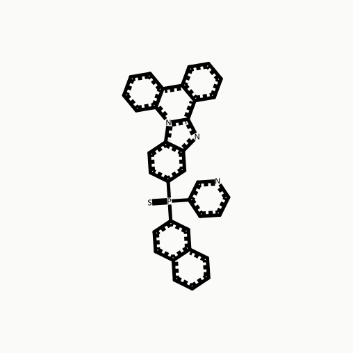 S=P(c1cccnc1)(c1ccc2ccccc2c1)c1ccc2c(c1)nc1c3ccccc3c3ccccc3n21